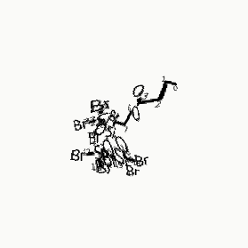 CC=CC(=O)OCCC[Si](O[Si](Br)(Br)Br)(O[Si](Br)(Br)Br)O[Si](Br)(Br)Br